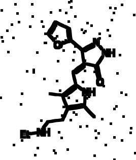 CCNCCc1c(C)[nH]c(C=C2C(=O)NN=C2c2ccco2)c1C